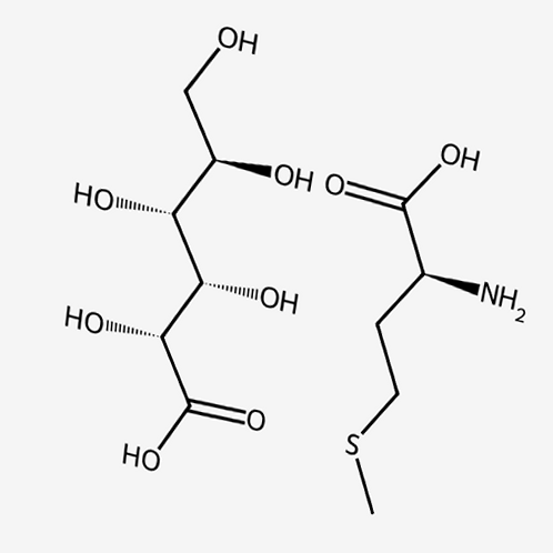 CSCC[C@H](N)C(=O)O.O=C(O)[C@H](O)[C@@H](O)[C@H](O)[C@H](O)CO